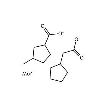 CC1CCC(C(=O)[O-])C1.O=C([O-])CC1CCCC1.[Mo+2]